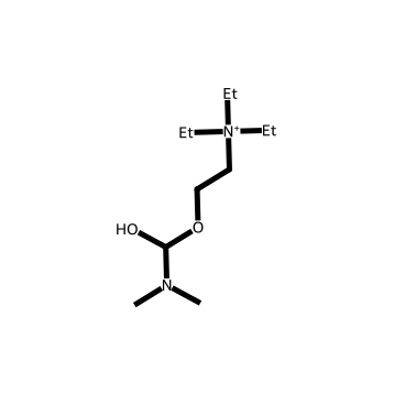 CC[N+](CC)(CC)CCOC(O)N(C)C